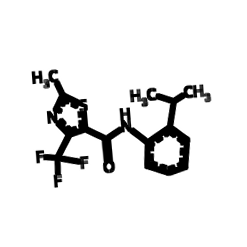 Cc1nc(C(F)(F)F)c(C(=O)Nc2ccccc2C(C)C)s1